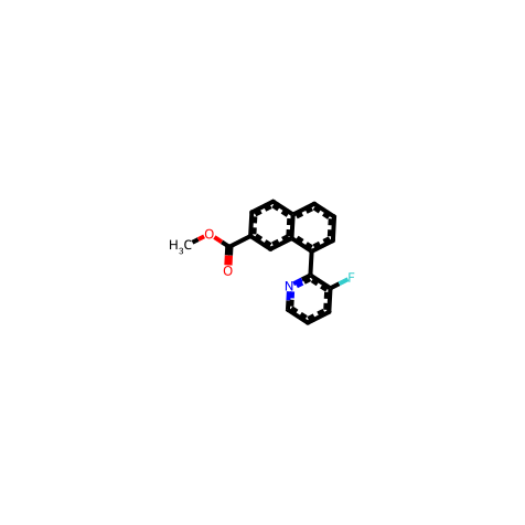 COC(=O)c1ccc2cccc(-c3ncccc3F)c2c1